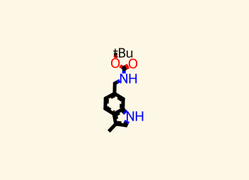 Cc1c[nH]c2cc(CNC(=O)OC(C)(C)C)ccc12